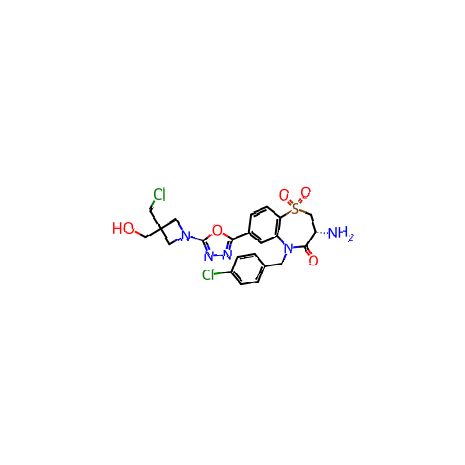 N[C@H]1CS(=O)(=O)c2ccc(-c3nnc(N4CC(CO)(CCl)C4)o3)cc2N(Cc2ccc(Cl)cc2)C1=O